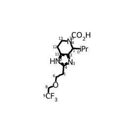 CC(C)C1c2nc(CCOCC(F)(F)F)[nH]c2CCN1C(=O)O